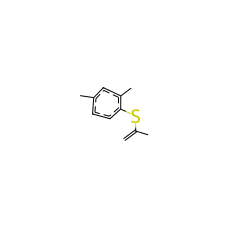 C=C(C)Sc1ccc(C)cc1C